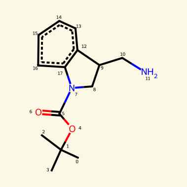 CC(C)(C)OC(=O)N1CC(CN)c2ccccc21